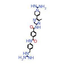 Cc1nc(NC(=O)c2ccc(C(=O)Nc3ccc(CNC(=N)N)cc3)cc2)cnc1C1=CCN(C(=N)N)CC1